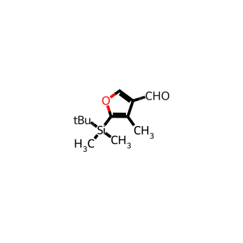 Cc1c(C=O)coc1[Si](C)(C)C(C)(C)C